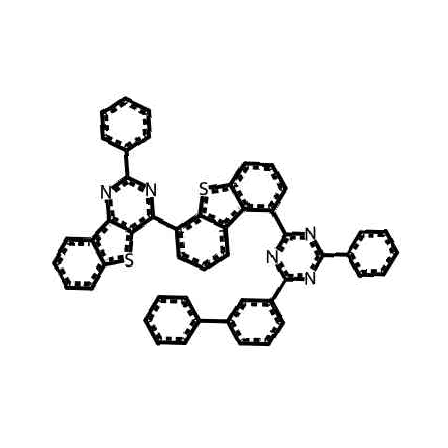 c1ccc(-c2cccc(-c3nc(-c4ccccc4)nc(-c4cccc5sc6c(-c7nc(-c8ccccc8)nc8c7sc7ccccc78)cccc6c45)n3)c2)cc1